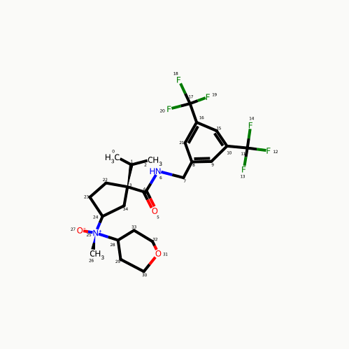 CC(C)[C@]1(C(=O)NCc2cc(C(F)(F)F)cc(C(F)(F)F)c2)CCC([N@@+](C)([O-])C2CCOCC2)C1